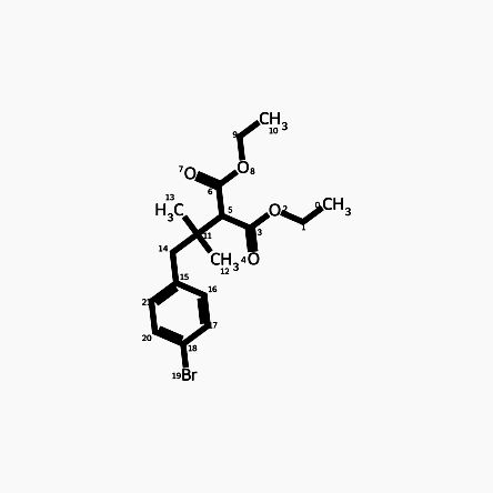 CCOC(=O)C(C(=O)OCC)C(C)(C)Cc1ccc(Br)cc1